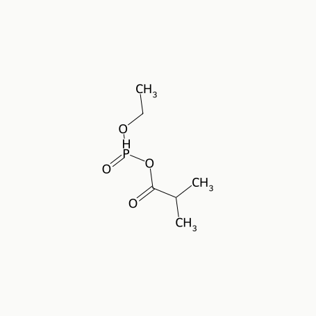 CCO[PH](=O)OC(=O)C(C)C